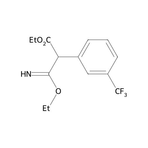 CCOC(=N)C(C(=O)OCC)c1cccc(C(F)(F)F)c1